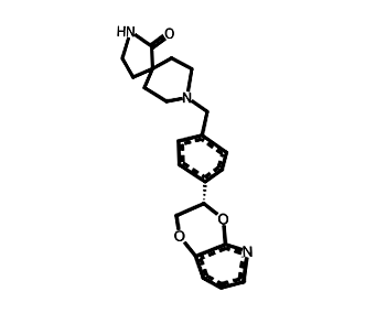 O=C1NCCC12CCN(Cc1ccc([C@H]3COc4cccnc4O3)cc1)CC2